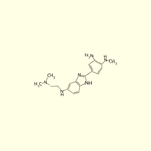 CNc1ccc(-c2nc3cc(NCCN(C)C)ccc3[nH]2)cc1N